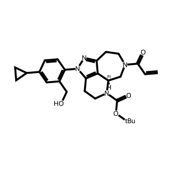 C=CC(=O)N1CCc2nn(-c3ccc(C4CC4)cc3CO)c3c2[C@H](C1)N(C(=O)OC(C)(C)C)CC3